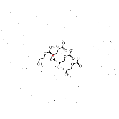 CCCOC(=O)[O-].CCCOC(=O)[O-].CCCOC(=O)[O-].CCCOC(=O)[O-].[C+4]